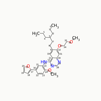 CCCC(CCC)CCc1cc2c(Nc3cc(-c4ccco4)ccc3OC)ncnc2cc1OCCOC